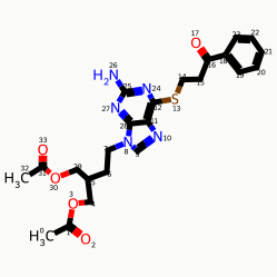 CC(=O)OCC(CCn1cnc2c(SCCC(=O)c3ccccc3)nc(N)nc21)COC(C)=O